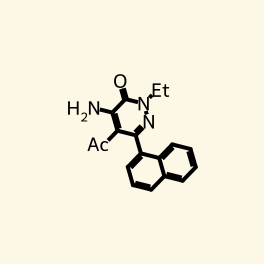 CCn1nc(-c2cccc3ccccc23)c(C(C)=O)c(N)c1=O